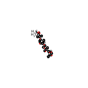 C=Cc1cccc(-c2c3ccccc3c(-c3ccc4c(c3)sc3ccc5cc(-c6cccc7c(-c8c9ccccc9c(-c9ccc%10c(c9)oc9ccc%11ccc%12c%13ccccc%13sc%12c%11c9%10)c9ccccc89)cccc67)c6oc7ccccc7c6c5c34)c3ccccc23)c1C=C